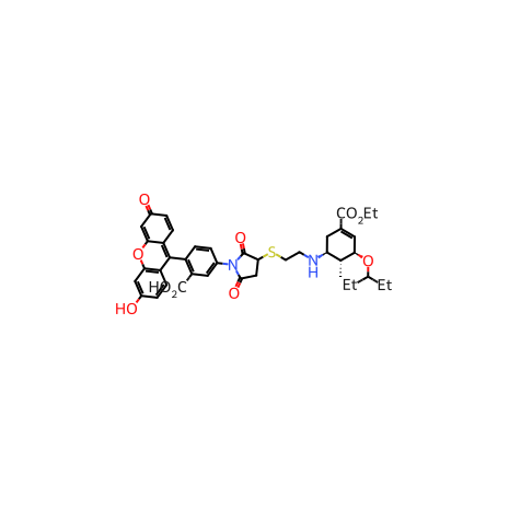 CCOC(=O)C1=C[C@@H](OC(CC)CC)[C@H](C)[C@@H](NCCSC2CC(=O)N(c3ccc(-c4c5ccc(=O)cc-5oc5cc(O)ccc45)c(C(=O)O)c3)C2=O)C1